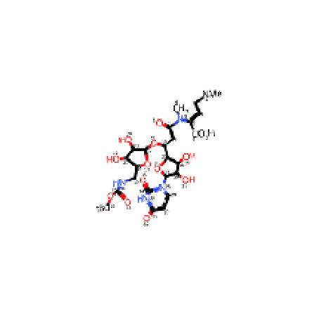 CNC/C=C(/C(=O)O)N(C)C(=O)C[C@H](OC1OC(CNC(=O)OC(C)(C)C)C(O)C1O)C1OC(n2ccc(=O)[nH]c2=O)C(O)C1O